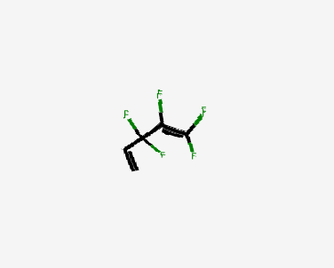 C=[C]C(F)(F)C(F)=C(F)F